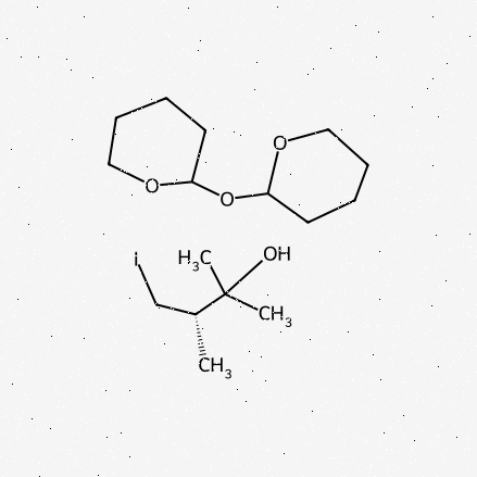 C1CCC(OC2CCCCO2)OC1.C[C@H](CI)C(C)(C)O